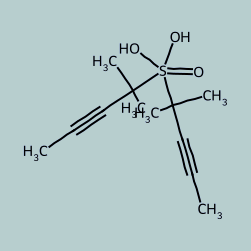 CC#CC(C)(C)S(=O)(O)(O)C(C)(C)C#CC